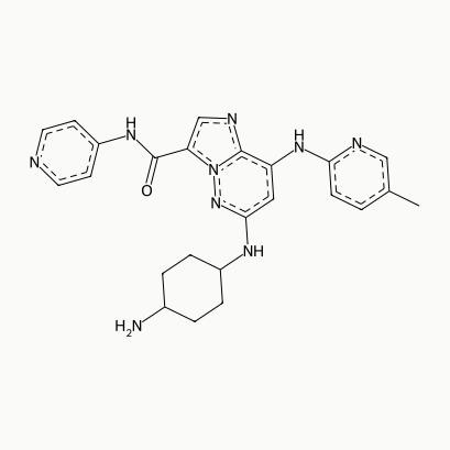 Cc1ccc(Nc2cc(NC3CCC(N)CC3)nn3c(C(=O)Nc4ccncc4)cnc23)nc1